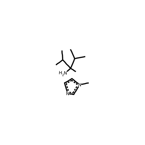 CC(C)C(C)(N)C(C)C.Cn1ccnc1